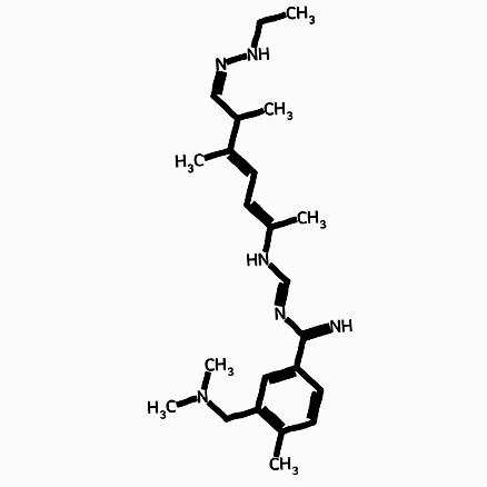 CCN/N=C\C(C)/C(C)=C/C=C(\C)N/C=N/C(=N)c1ccc(C)c(CN(C)C)c1